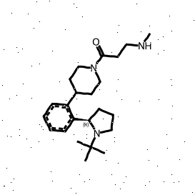 CNCCC(=O)N1CCC(c2ccccc2[C@H]2CCCN2C(C)(C)C)CC1